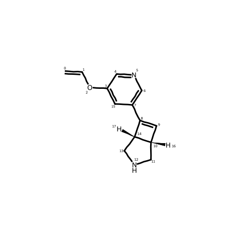 C=COc1cncc(C2=C[C@@H]3CNC[C@H]23)c1